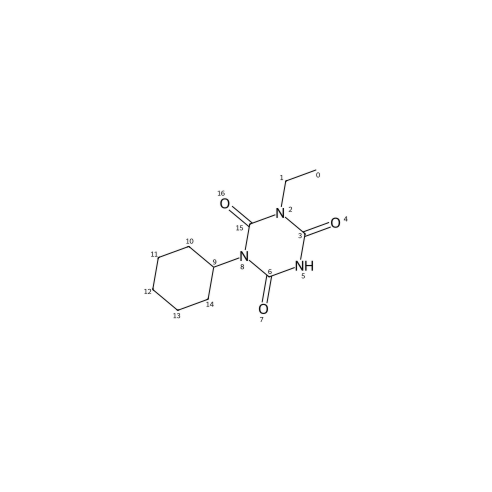 CCn1c(=O)[nH]c(=O)n(C2CCCCC2)c1=O